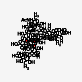 CC(=O)NC1C(O)[C@H](O[C@@H]2OC(CO)[C@H](O)[C@H](O[C@]3(OC=O)CC(O)[C@@H](C)C([C@H](O)[C@H](O)CO)O3)C2O)C(CO)O[C@H]1OC1[C@@H](OCC2O[C@@H](O[C@@H]3C(CO)O[C@@H](O[C@@H]4C(CO)O[C@@H](C)C(NC(C)=O)[C@H]4O)C(NC(C)=O)[C@H]3O)C(O)[C@@H](OC3O[C@H](CO)[C@@H](O)C(O)C3O[C@@H]3OC(CO)[C@@H](O[C@@H]4OC(CO[C@]5(OC=O)CC(O)[C@@H](C)C([C@H](O)[C@H](O)CO)O5)[C@H](O)[C@H](O)C4O)[C@H](O)C3NC(C)=O)[C@@H]2O)OC(CO)[C@@H](O)[C@@H]1O